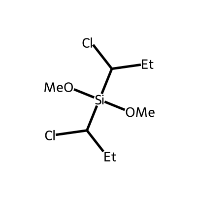 CCC(Cl)[Si](OC)(OC)C(Cl)CC